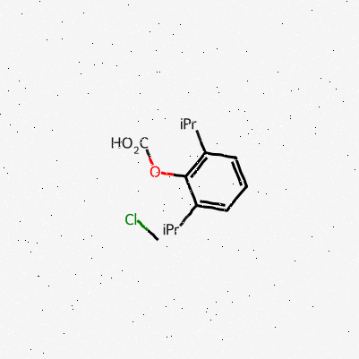 CC(C)c1cccc(C(C)C)c1OC(=O)O.CCl